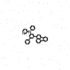 c1ccc(-c2cc(-c3ccc4c5c(cccc35)-c3ccccc3-4)cc(N(c3ccccc3)c3cccnc3)c2)cc1